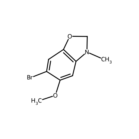 COc1cc2c(cc1Br)OCN2C